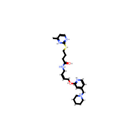 Cc1ccnc(SCCCC(=O)NC/C=C\COc2cc(CN3CCCCC3)ccn2)n1